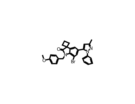 COc1ccc(CN2C(=O)C3(CCC3)c3cc(-c4cc(C)nn4-c4ccccc4)cc(Br)c32)cc1